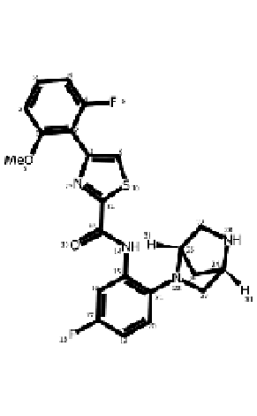 COc1cccc(F)c1-c1csc(C(=O)Nc2cc(F)ccc2N2C[C@@H]3C[C@H]2CN3)n1